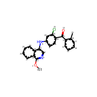 CCOc1ncc(Nc2ccc(C(=O)c3ccccc3C)c(Cl)c2)c2ccccc12